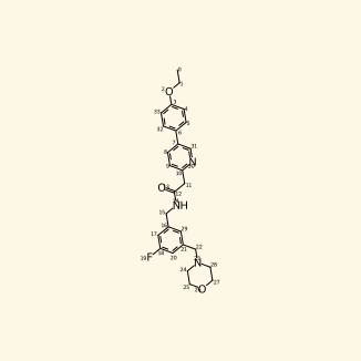 CCOc1ccc(-c2ccc(CC(=O)NCc3cc(F)cc(CN4CCOCC4)c3)nc2)cc1